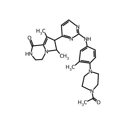 CC(=O)N1CCN(c2ccc(Nc3nccc(C4C(C)=C5C(=O)NCCN5C4C)n3)cc2C)CC1